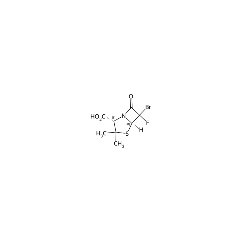 CC1(C)S[C@H]2N(C(=O)C2(F)Br)[C@H]1C(=O)O